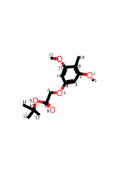 COc1cc(OCC(=O)OC(C)(C)C)cc(OC)c1C